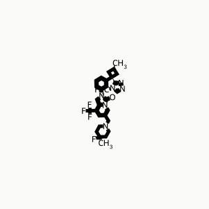 Cn1cnnc1[C@]1(c2cccc(-n3cc4c(C(F)(F)F)cc(CN5CCC(C)(F)CC5)cn4c3=O)c2)C[C@H](C)C1